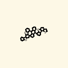 c1ccc2c(c1)oc1ccc3c(oc4cccc(-c5c6ccccc6c(-c6cccc7c6oc6ccc8ccsc8c67)c6ccccc56)c43)c12